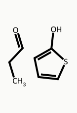 CCC=O.Oc1cccs1